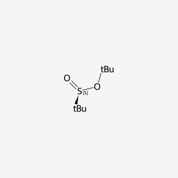 CC(C)(C)O[S@](=O)C(C)(C)C